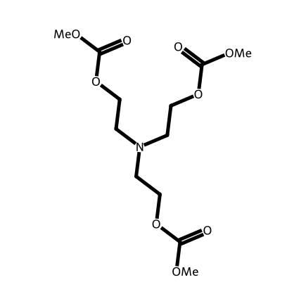 COC(=O)OCCN(CCOC(=O)OC)CCOC(=O)OC